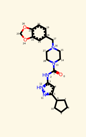 O=C(Nc1cc(C2CCCC2)n[nH]1)N1CCN(Cc2ccc3c(c2)OCO3)CC1